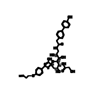 C#CCCOc1ccc(CS[C@]2(C(=O)O)C[C@H](O)[C@@H](NC(=O)CO)[C@H]([C@H](O)[C@H](O)CNC(=O)Cc3ccc(-c4ccc(O)cc4)cc3)O2)cc1